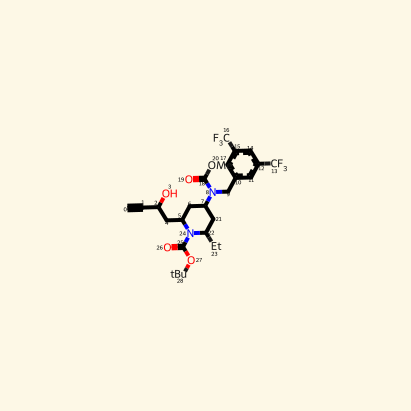 C#CC(O)CC1CC(N(Cc2cc(C(F)(F)F)cc(C(F)(F)F)c2)C(=O)OC)CC(CC)N1C(=O)OC(C)(C)C